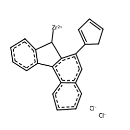 [Cl-].[Cl-].[Zr+2][CH]1c2ccccc2-c2c1c(C1=CC=CC1)cc1ccccc21